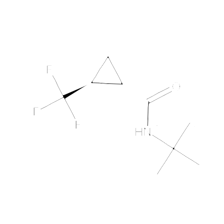 CC(C)(C)NC(=O)[C@H]1C[C@@H]1C(F)(F)F